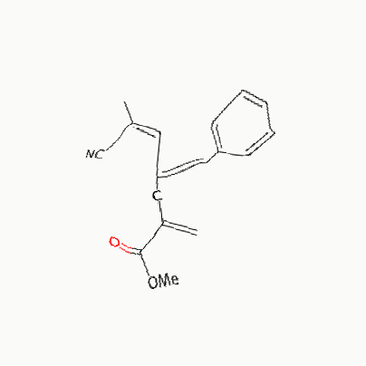 C=C(CC(C=C(C)C#N)=Cc1ccccc1)C(=O)OC